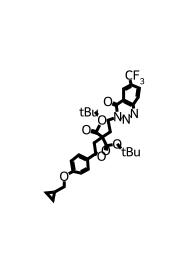 CC(C)(C)OC(=O)C(CCn1nnc2ccc(C(F)(F)F)cc2c1=O)(CC(=O)c1ccc(OCC2CC2)cc1)C(=O)OC(C)(C)C